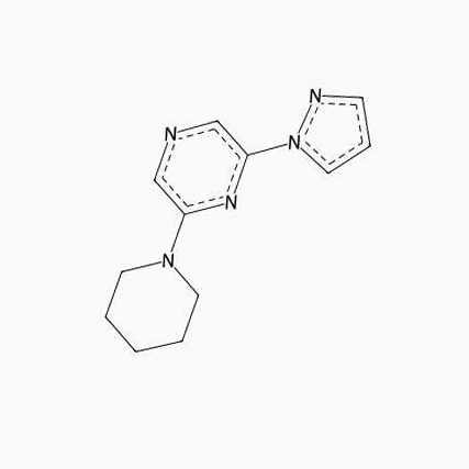 c1cnn(-c2cncc(N3CCCCC3)n2)c1